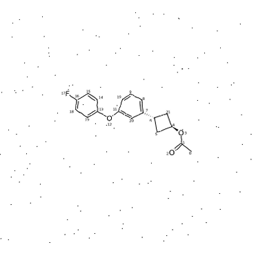 CC(=O)O[C@H]1C[C@H](c2cccc(Oc3ccc(F)cc3)c2)C1